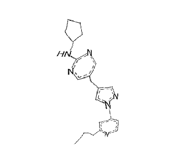 CCCc1cc(-n2cc(-c3cnc(NC4CCCC4)nc3)cn2)ccn1